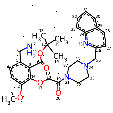 COc1ccc(CN)c(C(=O)OC(C)(C)C)c1OCC(=O)N1CCN(Cc2ccc3ccccc3n2)CC1